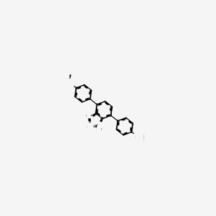 COc1ccc(-c2ccc(-c3ccc(O)cc3)c3nonc23)cc1